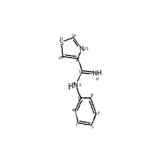 N=C(Nc1ccccc1)c1cscn1